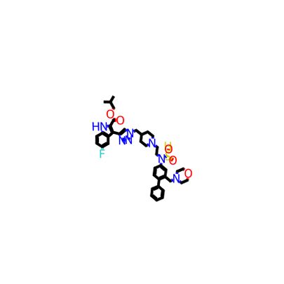 CC(C)COC(=O)c1[nH]c2ccc(F)cc2c1-c1cn(CC2CCN(CCN(c3ccc(-c4ccccc4)c(CN4CCOCC4)c3)[SH](=O)=O)CC2)nn1